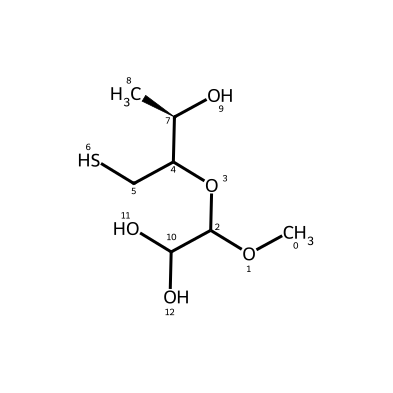 COC(OC(CS)[C@@H](C)O)C(O)O